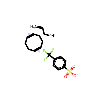 C1=C\CC/C=C\CC/1.C=C[CH2][Pd+].O=S(=O)([O-])c1ccc(C(F)(F)F)cc1